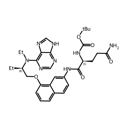 CC[C@H](COc1cccc2ccc(NC(=O)[C@H](CCC(N)=O)NC(=O)OC(C)(C)C)cc12)N(CC)c1ncnc2[nH]cnc12